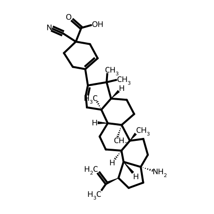 C=C(C)[C@@H]1CC[C@]2(N)CC[C@]3(C)[C@H](CC[C@@H]4[C@@]5(C)CC=C(C6=CCC(C#N)(C(=O)O)CC6)C(C)(C)[C@@H]5CC[C@]43C)[C@@H]12